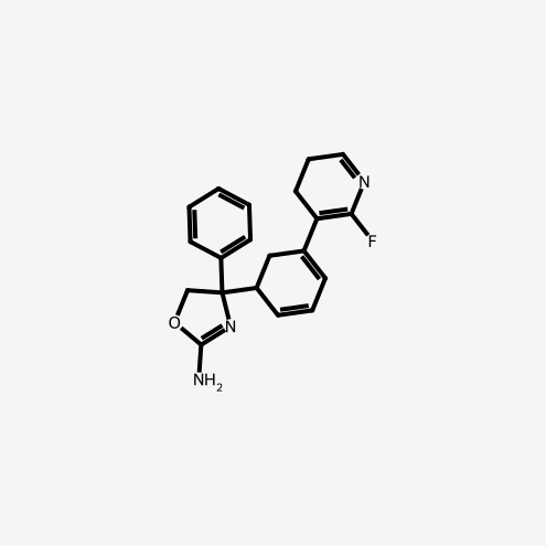 NC1=NC(c2ccccc2)(C2C=CC=C(C3=C(F)N=CCC3)C2)CO1